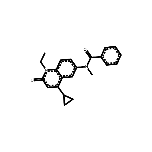 CCn1c(=O)cc(C2CC2)c2cc(N(C)C(=O)c3ccccc3)ccc21